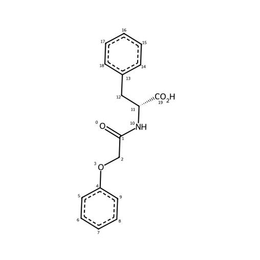 O=C(COc1ccccc1)N[C@H](Cc1ccccc1)C(=O)O